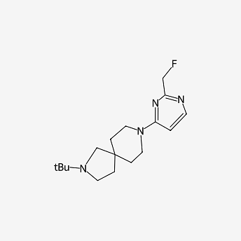 CC(C)(C)N1CCC2(CCN(c3ccnc(CF)n3)CC2)C1